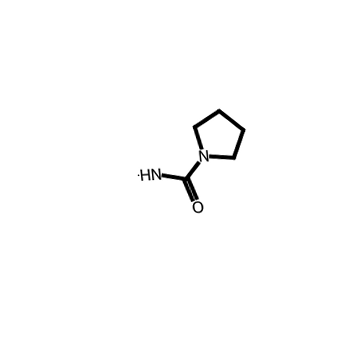 [NH]C(=O)N1CCCC1